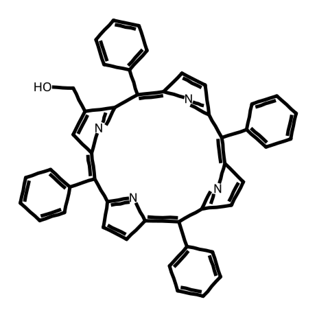 OCC1=CC2=C(c3ccccc3)C3=NC(=C(c4ccccc4)C4=NC(=C(c5ccccc5)C5=NC(=C(c6ccccc6)C1=N2)C=C5)C=C4)C=C3